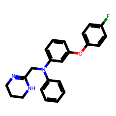 Fc1ccc(Oc2cccc(N(CC3=NCCCN3)c3ccccc3)c2)cc1